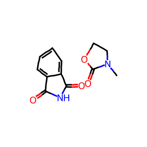 CN1CCOC1=O.O=C1NC(=O)c2ccccc21